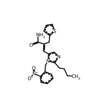 CCCCc1ncc(/C=C(\Cc2cccs2)C(N)=O)n1Cc1ccccc1[N+](=O)[O-]